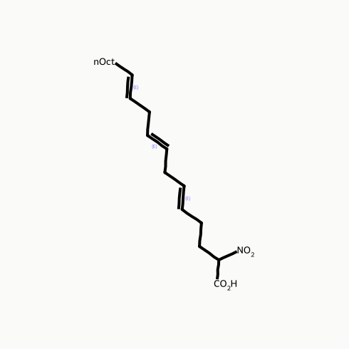 CCCCCCCC/C=C/C/C=C/C/C=C/CCC(C(=O)O)[N+](=O)[O-]